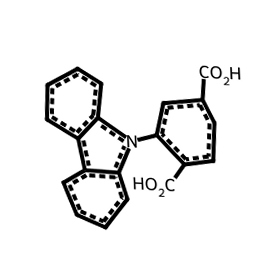 O=C(O)c1ccc(C(=O)O)c(-n2c3ccccc3c3ccccc32)c1